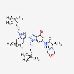 CC(C(=O)N(C)c1cc(Br)c2nc(-c3nn(COCC[Si](C)(C)C)c4c3C[C@@H]3C[C@]3(C)C4)n(COCC[Si](C)(C)C)c2c1)N1CCOCC1